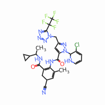 CC1=CC(C#N)CC(C(=O)NC(C)C2CC2)=C1NC(=O)c1cc(Cn2nnnc2C(F)(F)C(F)(F)F)nn1C1NC=CC=C1Cl